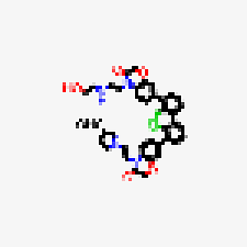 O=CC1CCN(CCN2C(=O)COc3cc(-c4cccc(-c5cccc(-c6ccc7c(c6)OCC(=O)N7CCNCCO)c5Cl)c4Cl)ccc32)C1